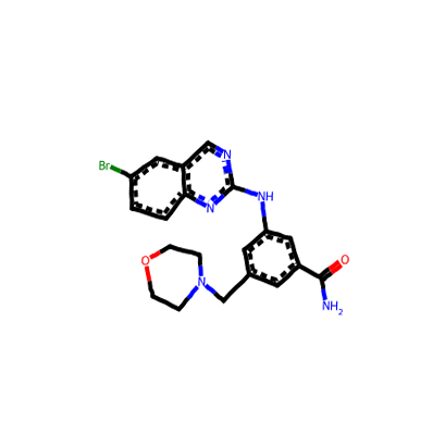 NC(=O)c1cc(CN2CCOCC2)cc(Nc2ncc3cc(Br)ccc3n2)c1